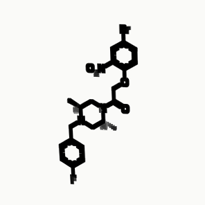 C[C@@H]1CN(Cc2ccc(F)cc2)[C@@H](C)CN1C(=O)COc1ccc(Br)cc1[N+](=O)[O-]